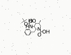 C[C@H]1CN(C(=O)O)C(Cc2ccccc2)[C@@H](NC(=O)OC(C)(C)C)[C@@H]1O